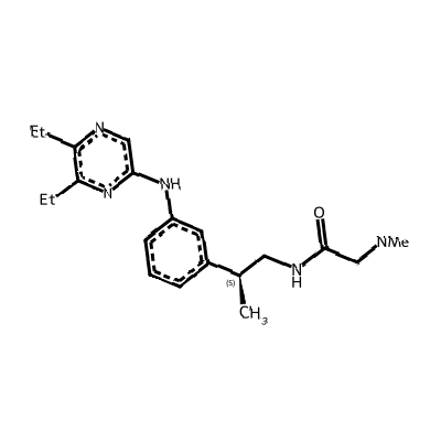 CCc1ncc(Nc2cccc([C@H](C)CNC(=O)CNC)c2)nc1CC